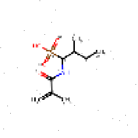 C=C(C)C(=O)NC(C(C)CC)S(=O)(=O)O